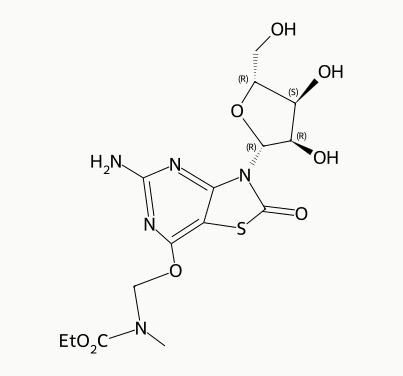 CCOC(=O)N(C)COc1nc(N)nc2c1sc(=O)n2[C@@H]1O[C@H](CO)[C@@H](O)[C@H]1O